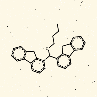 CCC[CH2][Zr][CH](c1cccc2c1Cc1ccccc1-2)c1cccc2c1Cc1ccccc1-2